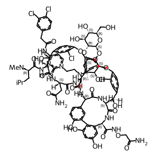 CN[C@H](CC(C)C)C(=O)N[C@H]1C(=O)N[C@@H](CC(N)=O)C(=O)N[C@H]2C(=O)N[C@H]3C(=O)N[C@H](C(=O)N[C@@H](C(=O)NOCC(N)=O)c4cc(O)cc(O)c4-c4cc3ccc4O)[C@H](O)c3ccc(c(Cl)c3)Oc3cc2cc(c3O[C@@H]2O[C@H](CO)[C@@H](O)[C@H](O)[C@H]2O[C@H]2C[C@](C)(NCCn3ccc(NC(=O)Cc4ccc(Cl)c(Cl)c4)nc3=O)[C@H](O)[C@H](C)O2)Oc2ccc(cc2Cl)[C@H]1O